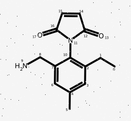 CCc1cc(C)cc(CN)c1N1C(=O)C=CC1=O